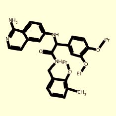 CCOc1cc(C(Nc2ccc3c(N)nccc3c2)C(=O)NCc2cccc(C)c2OC(C)C)ccc1OC(C)C